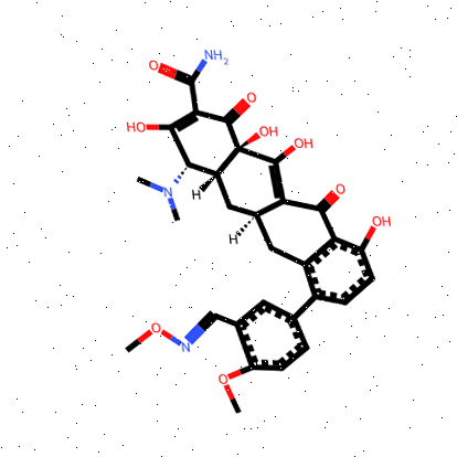 CO/N=C/c1cc(-c2ccc(O)c3c2C[C@H]2C[C@@H]4[C@H](N(C)C)C(O)=C(C(N)=O)C(=O)[C@]4(O)C(O)=C2C3=O)ccc1OC